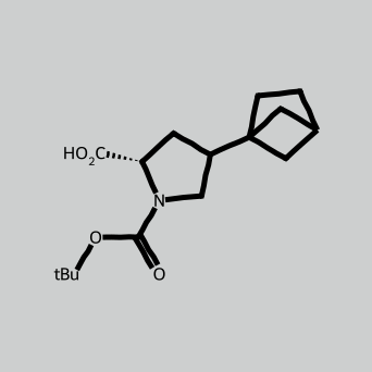 CC(C)(C)OC(=O)N1CC(C23CCC(C2)C3)C[C@H]1C(=O)O